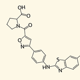 O=C(O)C1CCCN1C(=O)c1cc(-c2ccc(Nc3nc4ccc(F)cc4s3)cc2)no1